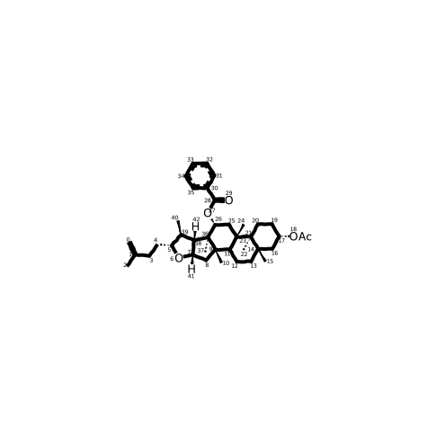 C=C(C)CC[C@H]1O[C@H]2C[C@@]3(C)C4CC[C@@]5(C)C[C@@H](OC(C)=O)CC[C@]5(C)[C@@]4(C)C[C@@H](OC(=O)c4ccccc4)[C@]3(C)[C@H]2[C@@H]1C